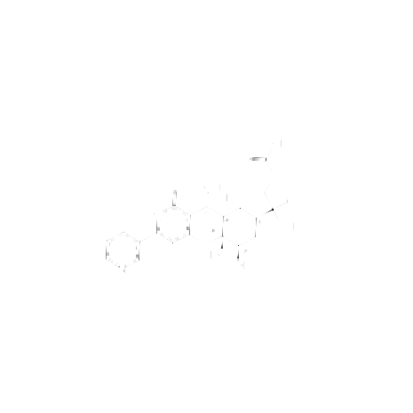 CC(=O)OCC(C)(O)[C@H]1C[C@@H](O)[C@]2(C)Oc3cc(-c4cccnc4)oc(=O)c3[C@H](O)[C@H]2C1